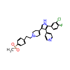 CS(=O)(=O)c1ccc(CCN2CC=C(c3c[nH]c(-c4ccc(F)c(Cl)c4)c3-c3ccncc3)CC2)cc1